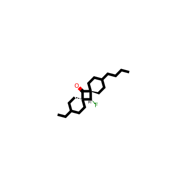 CCCCC1CC[C@]2(CC1)C(=O)[C@@]1(CCC(CC)CC1)[C@H]2F